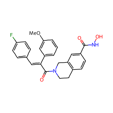 COc1cccc(/C(=C\c2ccc(F)cc2)C(=O)N2CCc3ccc(C(=O)NO)cc3C2)c1